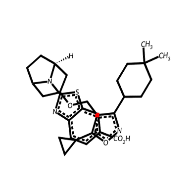 CC1(C)CCC(c2noc(C3CC3)c2COC2CC3CC[C@@H](C2)N3c2nc3ccc(C(=O)O)cc3s2)CC1